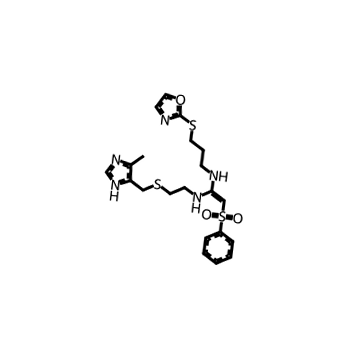 Cc1nc[nH]c1CSCCNC(=CS(=O)(=O)c1ccccc1)NCCCSc1ncco1